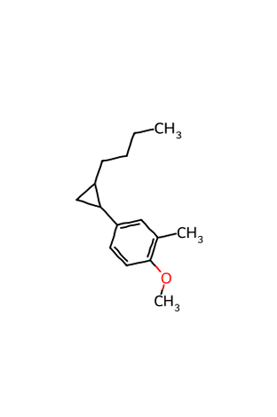 CCCCC1CC1c1ccc(OC)c(C)c1